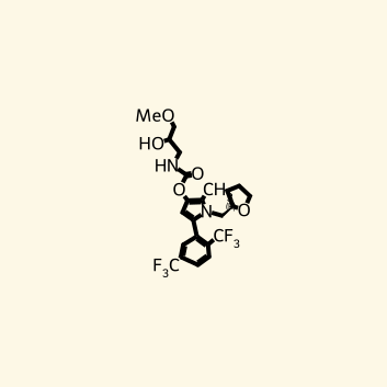 COCC(O)CNC(=O)Oc1cc(-c2cc(C(F)(F)F)ccc2C(F)(F)F)n(C[C@H]2CCCO2)c1C